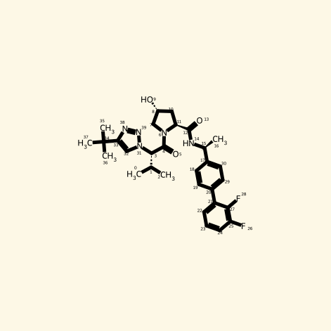 CC(C)[C@@H](C(=O)N1C[C@H](O)C[C@H]1C(=O)N[C@@H](C)c1ccc(-c2cccc(F)c2F)cc1)n1cc(C(C)(C)C)nn1